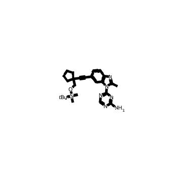 Cc1nc2ccc(C#CC3(CO[Si](C)(C)C(C)(C)C)CCCC3)cc2n1-c1ncnc(N)n1